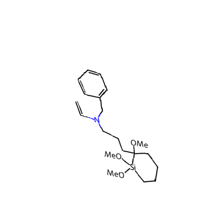 C=CN(CCCC1(OC)CCCC[Si]1(OC)OC)Cc1ccccc1